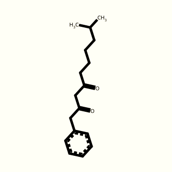 CC(C)CCCCC(=O)CC(=O)Cc1ccccc1